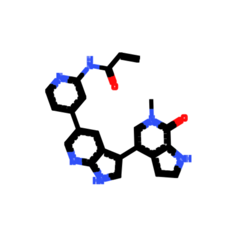 C=CC(=O)Nc1cc(-c2cnc3[nH]cc(-c4cn(C)c(=O)c5[nH]ccc45)c3c2)ccn1